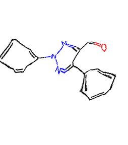 O=Cc1nn(-c2ccccc2)nc1-c1ccccc1